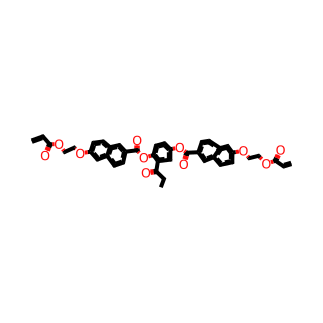 C=CC(=O)OCCOc1ccc2cc(C(=O)Oc3ccc(OC(=O)c4ccc5cc(OCCOC(=O)C=C)ccc5c4)c(C(=O)CC)c3)ccc2c1